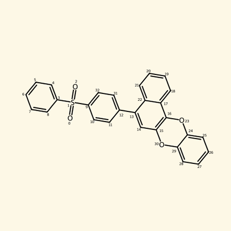 O=S(=O)(c1ccccc1)c1ccc(-c2cc3c(c4ccccc24)Oc2ccccc2O3)cc1